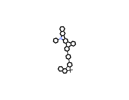 CC1(C)c2ccc(-c3ccc(-c4ccc5c(c4)c4ccccc4c4cc6c7cc8ccccc8cc7n(-c7ccccc7)c6cc54)cc3)cc2-c2c1ccc1ccccc21